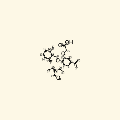 C=C(C)c1ccc(OCc2c(F)cccc2F)c(OCC(=O)O)c1.CCN(C=O)CC